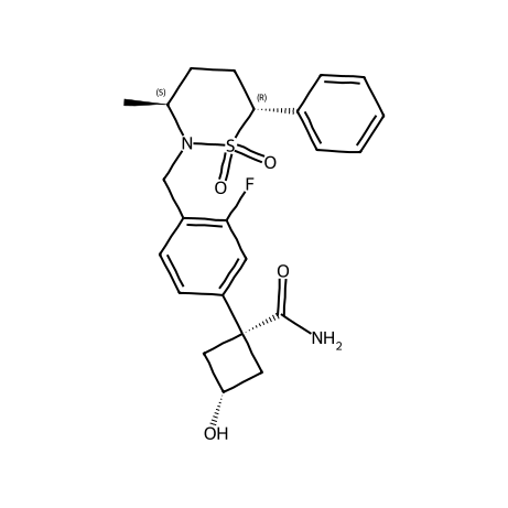 C[C@H]1CC[C@H](c2ccccc2)S(=O)(=O)N1Cc1ccc([C@]2(C(N)=O)C[C@@H](O)C2)cc1F